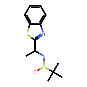 CC(N[S+]([O-])C(C)(C)C)c1nc2ccccc2s1